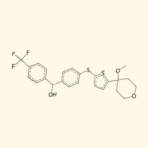 COC1(c2ccc(Sc3ccc(C(O)c4ccc(C(F)(F)F)cc4)cc3)s2)CCOCC1